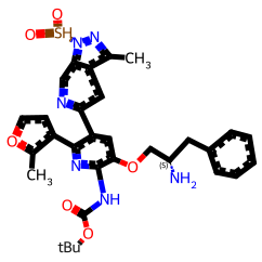 Cc1occc1-c1nc(NC(=O)OC(C)(C)C)c(OC[C@@H](N)Cc2ccccc2)cc1-c1cc2c(C)nn([SH](=O)=O)c2cn1